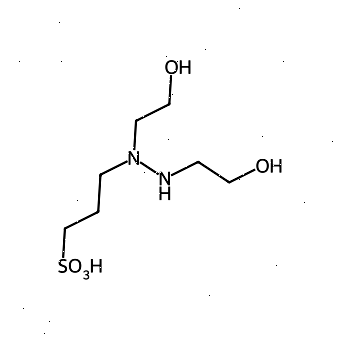 O=S(=O)(O)CCCN(CCO)NCCO